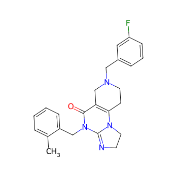 Cc1ccccc1CN1C(=O)C2=C(CCN(Cc3cccc(F)c3)C2)N2CCN=C12